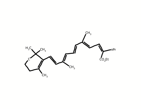 CCCC(=CC=C(C)C=CC=C(C)C=CC1=C(C)CCCC1(C)C)C(=O)OCC